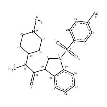 CC(=O)c1ccc(S(=O)(=O)N2CC(C(=O)N(C)C3CCN(C)CC3)c3ccccc32)cc1